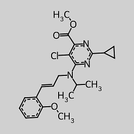 COC(=O)c1nc(C2CC2)nc(N(CC=Cc2ccccc2OC)C(C)C)c1Cl